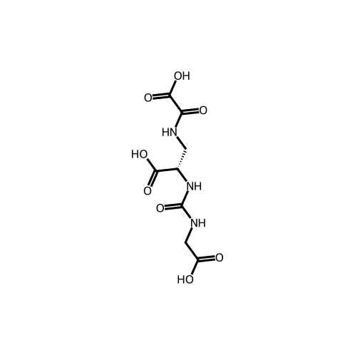 O=C(O)CNC(=O)N[C@@H](CNC(=O)C(=O)O)C(=O)O